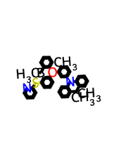 CB(c1ccccc1Oc1cc(N2c3ccccc3C(C)(C)c3ccccc32)ccc1C)c1ccccc1Sc1ccccn1